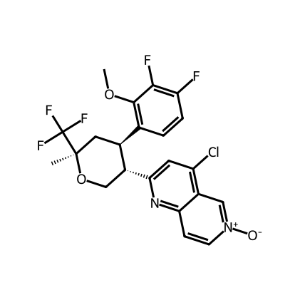 COc1c([C@@H]2C[C@](C)(C(F)(F)F)OC[C@H]2c2cc(Cl)c3c[n+]([O-])ccc3n2)ccc(F)c1F